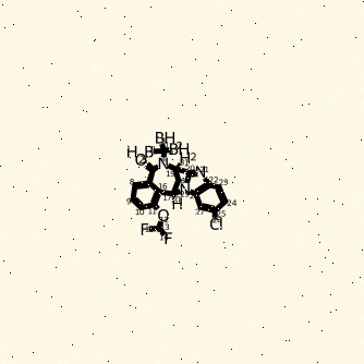 BC(B)(B)N1C(=O)c2cccc(OC(F)F)c2[C@@H]2C[C@H]1c1nc3ccc(Cl)cc3n12